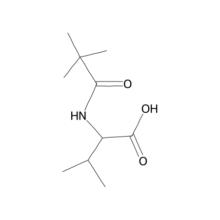 CC(C)C(NC(=O)C(C)(C)C)C(=O)O